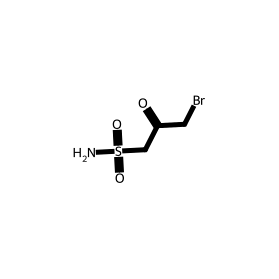 NS(=O)(=O)CC(=O)CBr